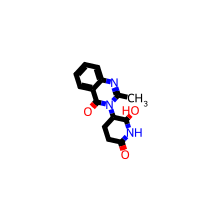 Cc1nc2ccccc2c(=O)n1C1CCC(=O)NC1O